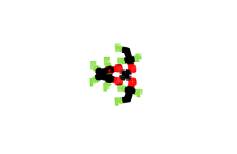 FCC(F)(F)O[Si](OC(F)(F)CF)(OC(F)(F)CF)OC(F)(F)CF